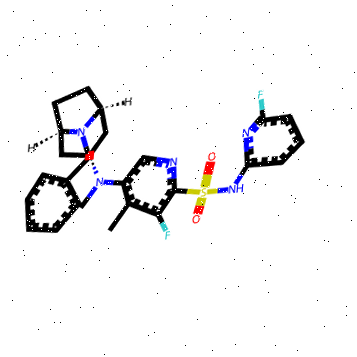 Cc1c(N(C)[C@@H]2C[C@H]3CC[C@@H](C2)N3Cc2ccccc2)cnc(S(=O)(=O)Nc2cccc(F)n2)c1F